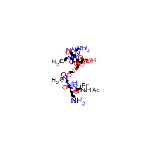 C=CCn1c(=O)n([C@@H]2O[C@H](CO)[C@H]3OC(COCCOC(=O)N(C)CCNC(=O)[C@H](CCCCN)NC(=O)[C@@H](NC(C)=O)C(C)C)O[C@H]32)c2nc(N)[nH]c(=O)c21